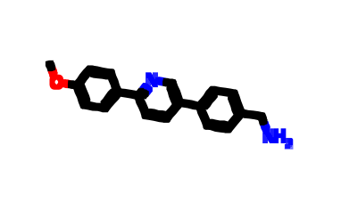 COc1ccc(-c2ccc(-c3ccc(CN)cc3)cn2)cc1